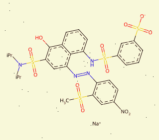 CC(C)N(C(C)C)S(=O)(=O)c1cc(/N=N/c2ccc([N+](=O)[O-])cc2S(C)(=O)=O)c2c(NS(=O)(=O)c3cccc(S(=O)(=O)[O-])c3)cccc2c1O.[Na+]